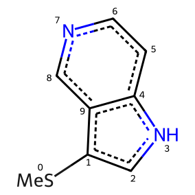 CSc1c[nH]c2ccncc12